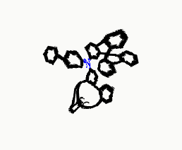 c1ccc(-c2ccc(N(c3ccc4c(c3)C3CC5CC6C(CCC56C3)Cc3ccccc3-4)c3ccc4c(c3)C3(c5ccccc5-c5ccccc53)c3ccccc3-4)cc2)cc1